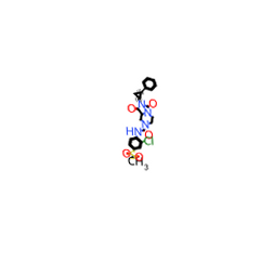 CS(=O)(=O)c1ccc(NC(=O)N2CCN3C(=O)N([C@@H]4C[C@H]4c4ccccc4)C(=O)C3C2)c(Cl)c1